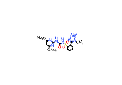 COc1cc(OC)nc(NC(=O)NS(=O)(=O)c2ccccc2-c2nnnn2C)n1